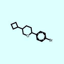 Brc1ccc(C2CCC(C3CCC3)CO2)cc1